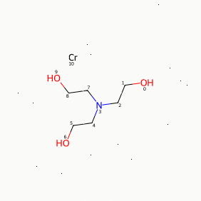 OCCN(CCO)CCO.[Cr]